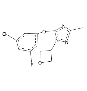 Fc1cc(Cl)cc(Oc2nc(I)nn2C2COC2)c1